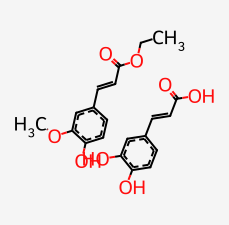 CCOC(=O)C=Cc1ccc(O)c(OC)c1.O=C(O)C=Cc1ccc(O)c(O)c1